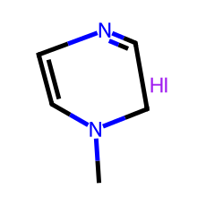 CN1C=CN=CC1.I